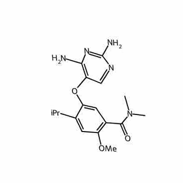 COc1cc(C(C)C)c(Oc2cnc(N)nc2N)cc1C(=O)N(C)C